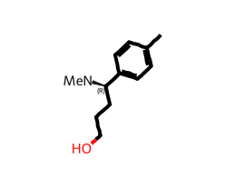 CN[C@H](CCCO)c1ccc(C)cc1